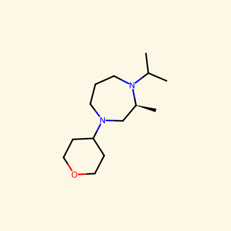 CC(C)N1CCCN(C2CCOCC2)C[C@@H]1C